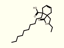 CCCCCCCCCCC1(C(=O)O)CC=CCC1(CCCC)C(=O)O